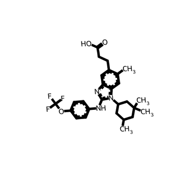 Cc1cc2c(cc1CCC(=O)O)nc(Nc1ccc(OC(F)(F)F)cc1)n2C1CC(C)CC(C)(C)C1